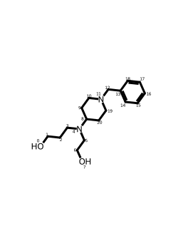 OCCCN(CCO)C1CCN(Cc2ccccc2)CC1